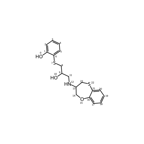 Oc1ccccc1SCC(O)CNC1COc2ccccc2SC1